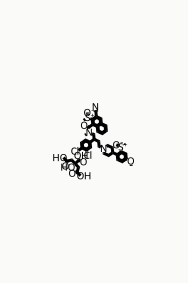 COc1ccc(C2CCN(CCC(CN(C)C(=O)c3c([S+](C)[O-])c(C#N)cc4ccccc34)c3ccc(Cl)c(Cl)c3)CC2)c([S@+](C)[O-])c1.O=C(O)CC(O)(CC(=O)O)C(=O)O